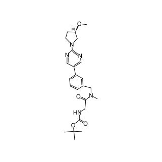 CO[C@@H]1CCN(c2ncc(-c3cccc(CN(C)C(=O)CNC(=O)OC(C)(C)C)c3)cn2)C1